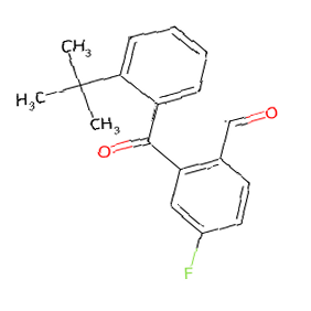 CC(C)(C)c1ccccc1C(=O)c1cc(F)ccc1[C]=O